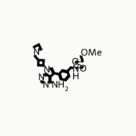 COCCS(=O)(=O)NCc1cccc(-c2cn(C3CC(CN4CCC4)C3)c3ncnc(N)c23)c1